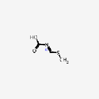 CS/C=N/C(=O)O